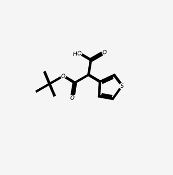 CC(C)(C)OC(=O)C(C(=O)O)c1ccsc1